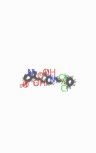 COc1ccc2nccc(C(O)CC[C@@H]3CCN(CCCSc4c(Cl)cccc4Cl)C[C@@H]3C(=O)O)c2c1